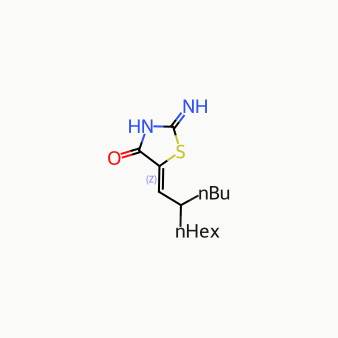 CCCCCCC(/C=C1\SC(=N)NC1=O)CCCC